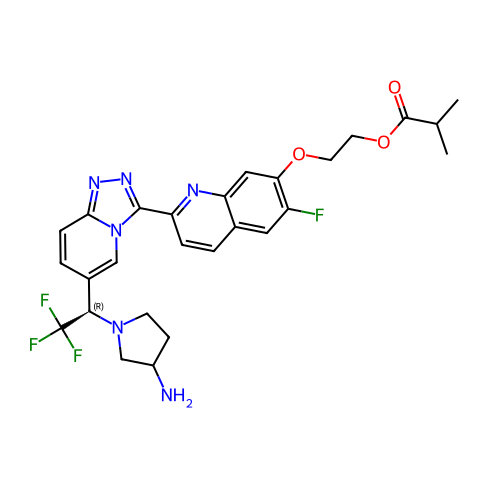 CC(C)C(=O)OCCOc1cc2nc(-c3nnc4ccc([C@@H](N5CCC(N)C5)C(F)(F)F)cn34)ccc2cc1F